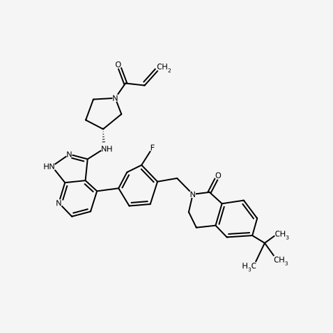 C=CC(=O)N1CC[C@@H](Nc2n[nH]c3nccc(-c4ccc(CN5CCc6cc(C(C)(C)C)ccc6C5=O)c(F)c4)c23)C1